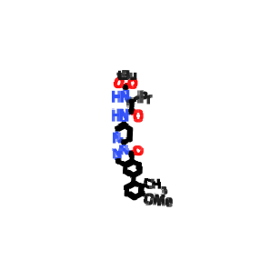 COc1cccc(-c2ccc3c(=O)n(-c4ccc(NC(=O)[C@@H](NC(=O)OC(C)(C)C)C(C)C)cn4)ncc3c2)c1C